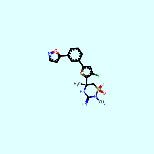 CN1C(=N)N[C@](C)(c2sc(-c3cccc(-c4ccno4)c3)cc2F)CS1(=O)=O